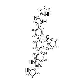 O=C1c2c(-c3ccc(-c4cnc([C@@H]5CCCN5)[nH]4)cc3)ccc(-c3ccc4nc([C@@H]5CCCN5)[nH]c4c3)c2CC12CCCC2